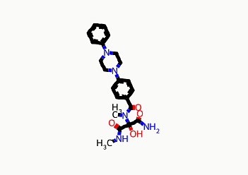 CNC(=O)C(O)(C(N)=O)N(C)C(=O)c1ccc(N2CCN(c3ccccc3)CC2)cc1